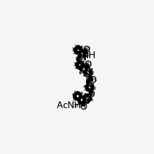 CC(=O)N[C@@H](C(=O)N1CCC(OC2CCN(CC(=O)N3CCN(C(=O)c4cc(Cc5n[nH]c(=O)c6ccccc56)ccc4F)CC3)CC2)CC1)C1CCCCC1